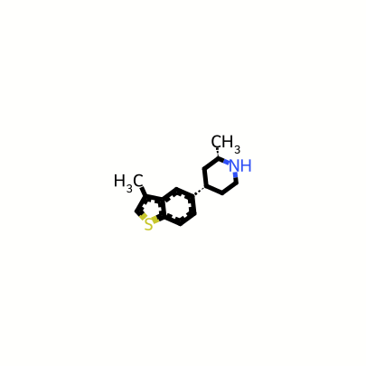 Cc1csc2ccc([C@H]3CCN[C@@H](C)C3)cc12